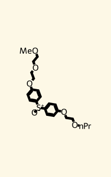 CCCOCCOc1ccc([S+]([O-])c2ccc(OCCOCCOC)cc2)cc1